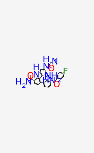 CN(C)CC(=O)Nc1ccc2c(c1)[nH]c1c(C(N)=O)ccc(-c3cccc(NC(=O)c4ccc(F)cc4)c3CN)c12